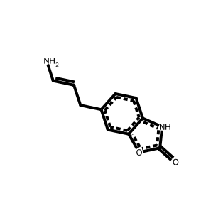 NC=CCc1ccc2[nH]c(=O)oc2c1